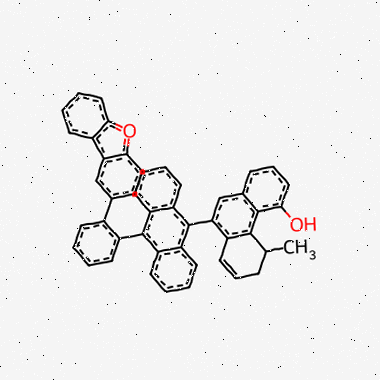 CC1CC=Cc2c(-c3c4ccccc4c(-c4ccccc4-c4ccc5oc6ccccc6c5c4)c4ccccc34)cc3cccc(O)c3c21